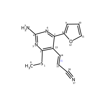 CSc1nc(N)nc(-c2ccco2)c1/C=C/C#N